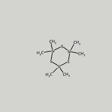 C[Si]1(C)S[Si](C)(C)S[Si](C)(C)S1